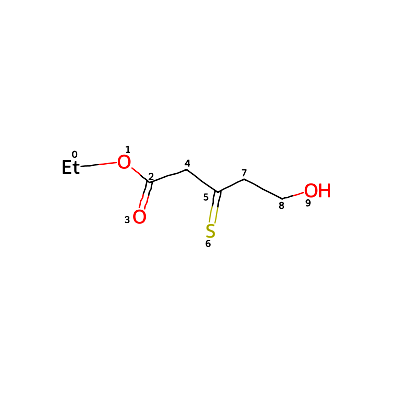 CCOC(=O)CC(=S)CCO